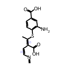 C=N/C=C\C(C(=O)O)=C(/C)Sc1ccc(C(=O)O)cc1N